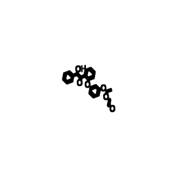 CC(OCC=O)Oc1cccc(Oc2ccccc2C(=O)C(O)c2ccccc2)c1